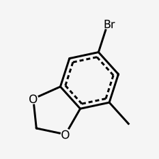 Cc1cc(Br)cc2c1OCO2